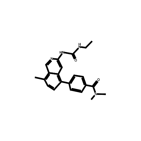 CCNC(=O)Nc1cc2c(-c3ccc(C(=O)N(C)C)cc3)ccc(C)c2cn1